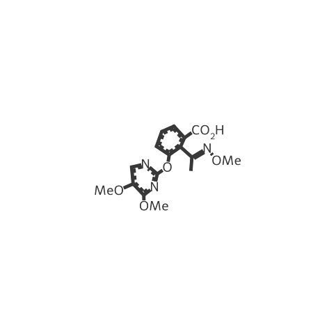 CON=C(C)c1c(Oc2ncc(OC)c(OC)n2)cccc1C(=O)O